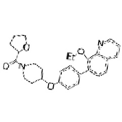 CCOc1c(-c2ccc(OC3CCN(C(=O)C4CCCO4)CC3)cc2)ccc2cccnc12